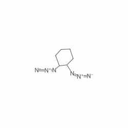 [N-]=[N+]=NC1CCCCC1N=[N+]=[N-]